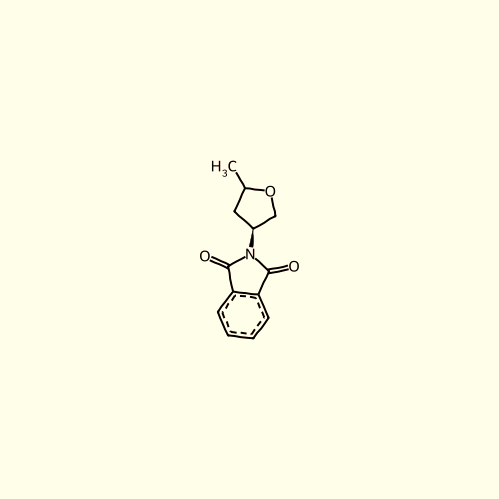 CC1C[C@H](N2C(=O)c3ccccc3C2=O)CO1